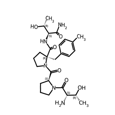 Cc1ccc(C[C@@]2(C(=O)N[C@H](C(N)=O)[C@@H](C)O)CCCN2C(=O)[C@@H]2CCCN2C(=O)[C@@H](N)[C@@H](C)O)cc1